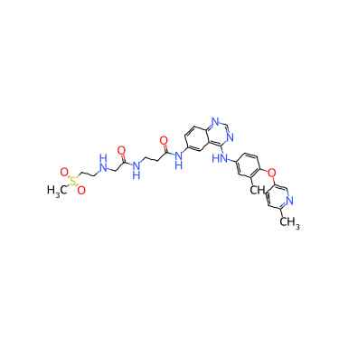 Cc1ccc(Oc2ccc(Nc3ncnc4ccc(NC(=O)CCNC(=O)CNCCS(C)(=O)=O)cc34)cc2C)cn1